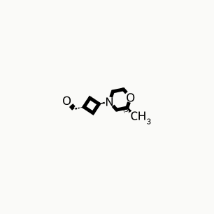 C[C@H]1CN([C@H]2C[C@@H](C=O)C2)CCO1